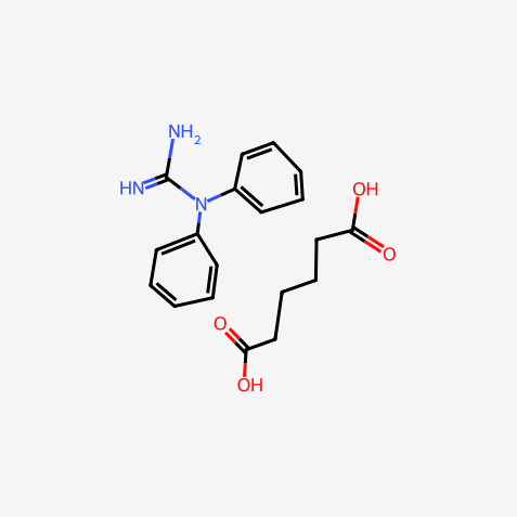 N=C(N)N(c1ccccc1)c1ccccc1.O=C(O)CCCCC(=O)O